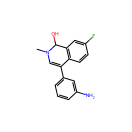 CN1C=C(c2cccc(N)c2)c2ccc(F)cc2C1O